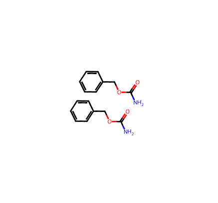 NC(=O)OCc1ccccc1.NC(=O)OCc1ccccc1